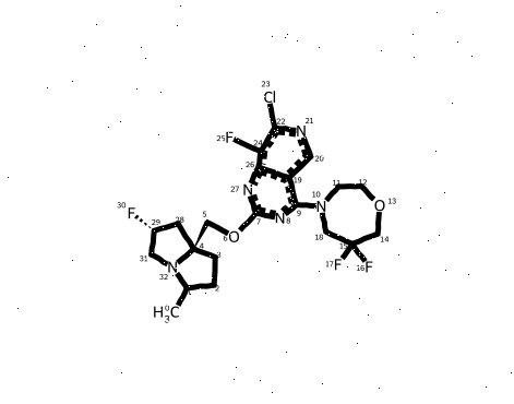 CC1CC[C@@]2(COc3nc(N4CCOCC(F)(F)C4)c4cnc(Cl)c(F)c4n3)C[C@@H](F)CN12